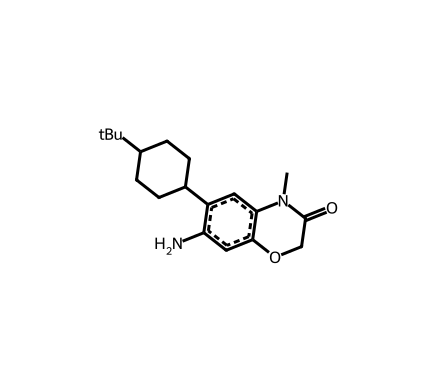 CN1C(=O)COc2cc(N)c(C3CCC(C(C)(C)C)CC3)cc21